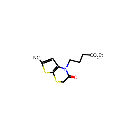 CCOC(=O)CCCN1C(=O)CSc2sc(C#N)cc21